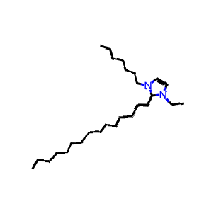 CCCCCCCCCCCCCCCC1N(CC)C=CN1CCCCCCC